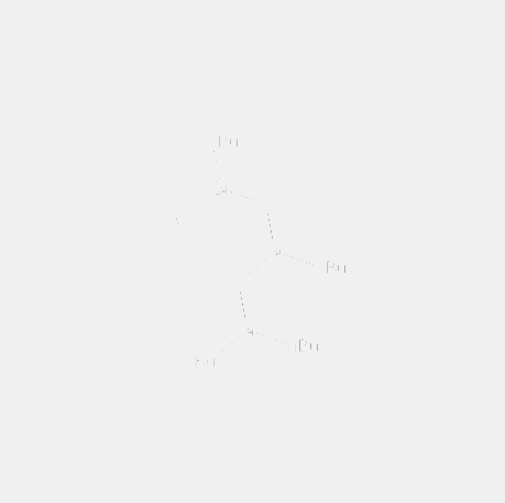 CCC[CH2][Bi]([CH2]CCC)[S][Bi]([CH2]CCC)[S][Bi]([CH2]CCC)[CH2]CCC